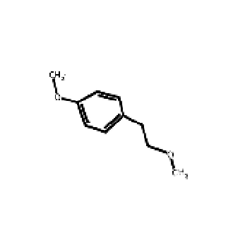 [CH2]Oc1ccc(CCOC)cc1